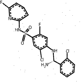 N[C@H](Nc1cc(F)c(S(=O)(=O)Nc2cccc(F)n2)cc1Cl)c1ccccc1Cl